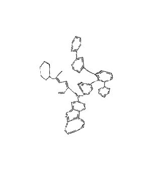 C=C/C(=C\C=C(/C)C1CCCCC1)N(c1ccc(-c2c(-c3ccccc3)cccc2-c2cccc(-c3ccccc3)c2)cc1)c1ccc2c(c1)sc1ccccc12